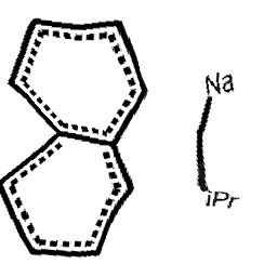 CC(C)[CH2][Na].c1ccc2ccccc2c1